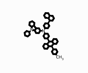 Cc1ccc(-c2c3ccccc3c(-c3ccc(N(c4ccc(-c5cccc6ccccc56)cc4)c4ccc5c(c4)c4ccccc4n5-c4ccccc4)cc3)c3ccccc23)cc1